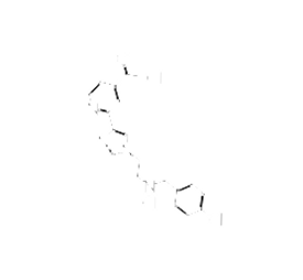 CN(CCn1cnc(-c2cc(C(=O)O)ccn2)c1)Cc1ccc(Cl)cc1